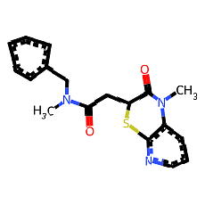 CN(Cc1ccccc1)C(=O)CC1Sc2ncccc2N(C)C1=O